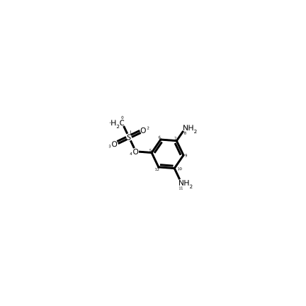 [CH2]S(=O)(=O)Oc1cc(N)cc(N)c1